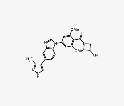 COc1cc(-n2cnc3cc(-c4c[nH]nc4C)ccc32)cc(OC)c1C(=O)N1CC(C#N)C1